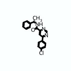 C[C@H](NC(=O)c1cc(-c2ccc(Cl)cc2)ncn1)c1ccccc1